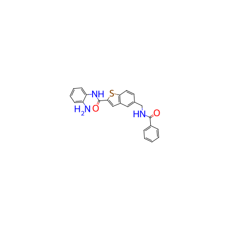 Nc1ccccc1NC(=O)c1cc2cc(CNC(=O)c3ccccc3)ccc2s1